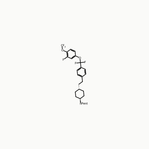 CCCCC[C@H]1CC[C@H](CCc2ccc(C(F)(F)Oc3ccc(OC(F)(F)F)c(F)c3)cc2)CC1